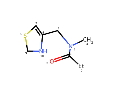 CCC(=O)N(C)CC1=CSCN1